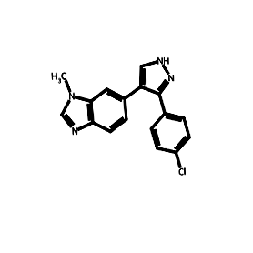 Cn1cnc2ccc(-c3c[nH]nc3-c3ccc(Cl)cc3)cc21